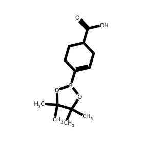 CC1(C)OB(C2=CCC(C(=O)O)CC2)OC1(C)C